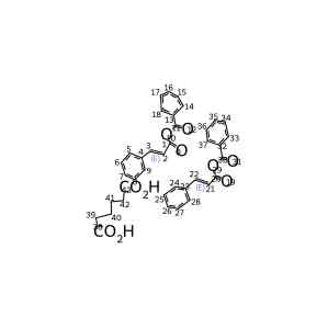 O=C(/C=C/c1ccccc1)OC(=O)c1ccccc1.O=C(/C=C/c1ccccc1)OC(=O)c1ccccc1.O=C(O)CCCCC(=O)O